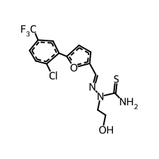 NC(=S)N(CCO)N=Cc1ccc(-c2cc(C(F)(F)F)ccc2Cl)o1